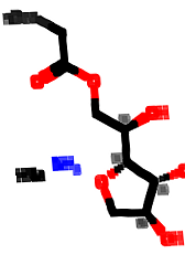 CCCCCCCCCCCC(=O)OC[C@@H](O)[C@H]1OC[C@H](O)[C@H]1O.N.[NaH]